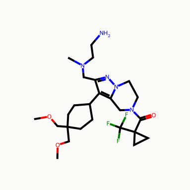 COCC1(COC)CCC(c2c(CN(C)CCN)nn3c2CN(C(=O)C2(C(F)(F)F)CC2)CC3)CC1